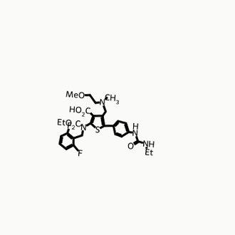 CCNC(=O)Nc1ccc(-c2sc(N(Cc3c(F)cccc3F)C(=O)OCC)c(C(=O)O)c2CN(C)CCOC)cc1